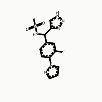 CS(=O)(=O)NC(c1ccc(-n2cccn2)c(F)c1)c1c[nH]nn1